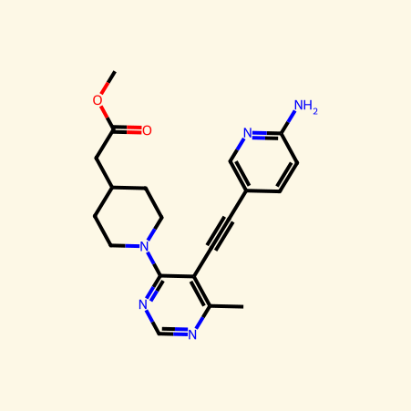 COC(=O)CC1CCN(c2ncnc(C)c2C#Cc2ccc(N)nc2)CC1